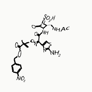 CC(=O)NC[C@@H]1[C@H](NC(=O)C(=NOC(C)(C)C(=O)OCc2ccc([N+](=O)[O-])cc2)c2csc(N)n2)C(=O)N1S(=O)(=O)O